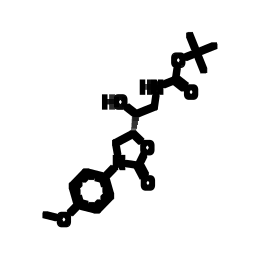 COc1ccc(N2C[C@H](C(O)CNC(=O)OC(C)(C)C)OC2=O)cc1